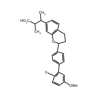 COc1ccc(F)c(-c2ccc(C3CCc4ccc(C(C)C(C)C(=O)O)cc4O3)cc2)c1